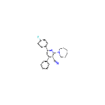 N#Cc1c(-c2ccccc2)cc(-c2ccc(F)cc2)nc1N1CCCCCC1